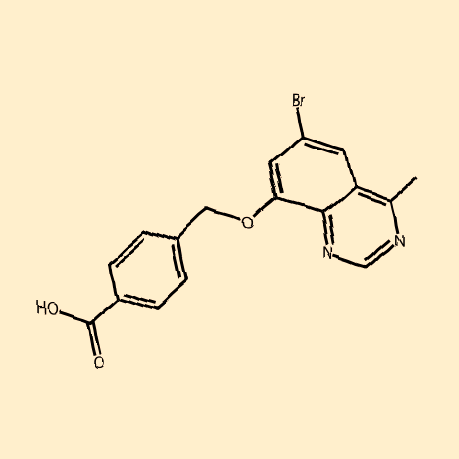 Cc1ncnc2c(OCc3ccc(C(=O)O)cc3)cc(Br)cc12